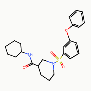 O=C(NC1CCCCC1)C1CCCN(S(=O)(=O)c2cccc(Oc3ccccc3)c2)C1